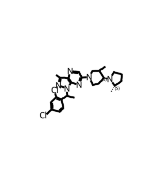 Cc1nn(C(C)c2ccc(Cl)cc2Cl)c2nc(N3CC[C@H](N4CCC[C@@H]4C)C(C)C3)cnc12